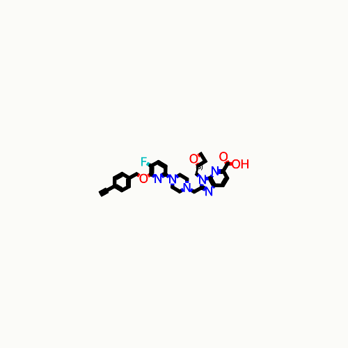 C#Cc1ccc(COc2nc(N3CCN(Cc4nc5ccc(C(=O)O)nc5n4C[C@@H]4CCO4)CC3)ccc2F)cc1